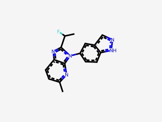 Cc1ccc2nc(C(C)F)n(-c3ccc4[nH]ncc4c3)c2n1